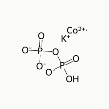 O=P([O-])([O-])OP(=O)([O-])O.[Co+2].[K+]